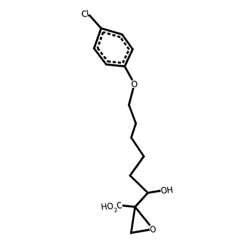 O=C(O)C1(C(O)CCCCCOc2ccc(Cl)cc2)CO1